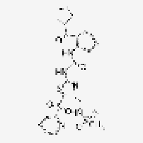 CS(=O)(=O)NCc1nc(NC(=O)Nc2ccccc2C(=O)C2CCCC2)sc1S(=O)(=O)c1ccccn1